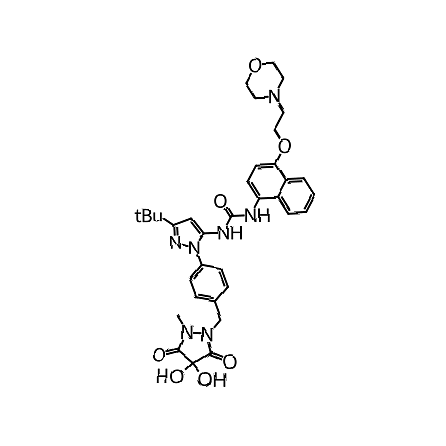 CN1C(=O)C(O)(O)C(=O)N1Cc1ccc(-n2nc(C(C)(C)C)cc2NC(=O)Nc2ccc(OCCN3CCOCC3)c3ccccc23)cc1